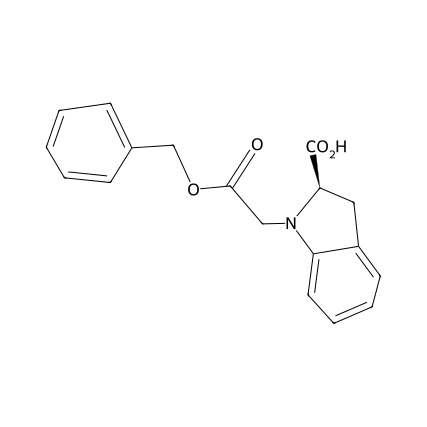 O=C(CN1c2ccccc2C[C@@H]1C(=O)O)OCc1ccccc1